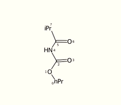 CCCOC(=O)NC(=O)C(C)C